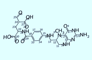 CN1c2c(nc(N)[nH]c2=O)NCC1CNc1ccc(C(=O)NC(CC(C=O)C(=O)O)C(=O)O)cc1